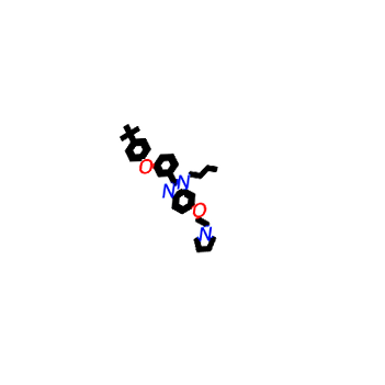 CCCCn1c(-c2cccc(Oc3ccc(C(C)(C)C)cc3)c2)nc2ccc(OCCN3CCCC3)cc21